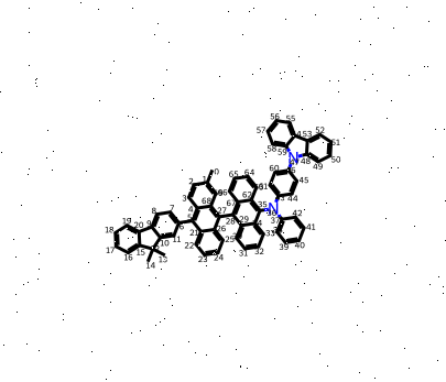 Cc1ccc2c(-c3ccc4c(c3)C(C)(C)c3ccccc3-4)c3ccccc3c(-c3c4ccccc4c(N(c4ccccc4)c4ccc(-n5c6ccccc6c6ccccc65)cc4)c4ccccc34)c2c1